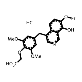 CCOc1ccc2c(Cc3cc(OC)c(OCC(=O)O)c(OC)c3)cncc2c1O.Cl